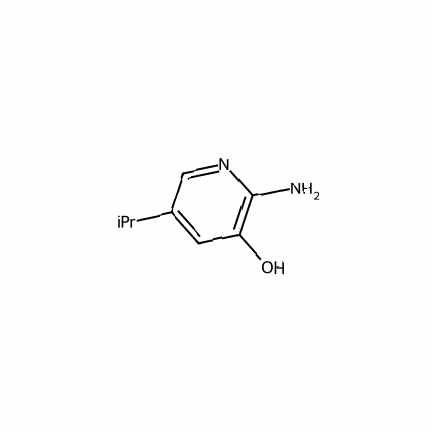 CC(C)c1cnc(N)c(O)c1